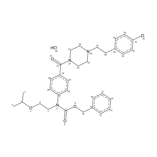 CC(C)OCCN(C(=O)OCc1ccccc1)c1ccc(C(=O)N2CCN(CCc3ccc(Cl)cc3)CC2)cc1.Cl